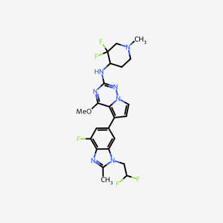 COc1nc(NC2CCN(C)CC2(F)F)nn2ccc(-c3cc(F)c4nc(C)n(CC(F)F)c4c3)c12